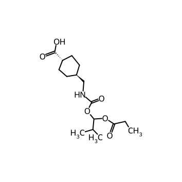 CCC(=O)OC(OC(=O)NC[C@H]1CC[C@H](C(=O)O)CC1)C(C)C